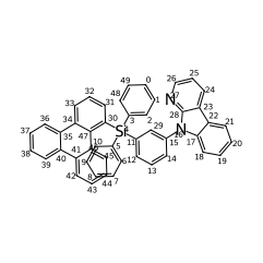 c1ccc([Si](c2ccccc2)(c2cccc(-n3c4ccccc4c4cccnc43)c2)c2cccc3c4ccccc4c4ccccc4c23)cc1